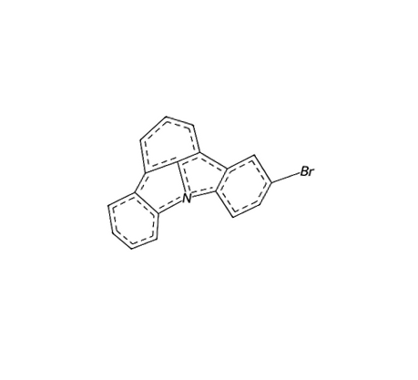 Brc1ccc2c(c1)c1cccc3c4ccccc4n2c31